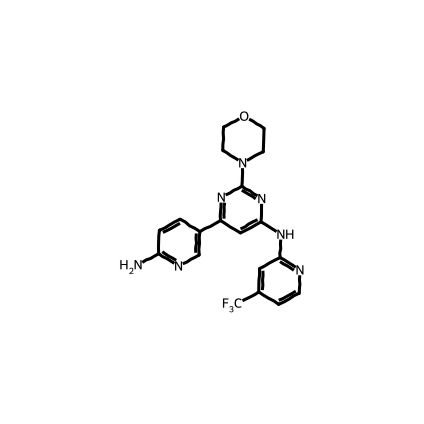 Nc1ccc(-c2cc(Nc3cc(C(F)(F)F)ccn3)nc(N3CCOCC3)n2)cn1